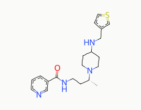 C[C@H](CCNC(=O)c1cccnc1)N1CCC(NCc2ccsc2)CC1